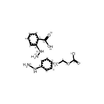 CCOC(=O)Cl.NNc1ccccc1.NNc1ccccc1C(=O)O